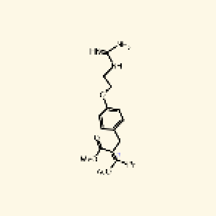 COC(=O)/C(Cc1ccc(OCCNC(=N)N)cc1)=C(\OC(C)=O)C(C)C